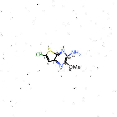 COc1nc2cc(Cl)sc2nc1N